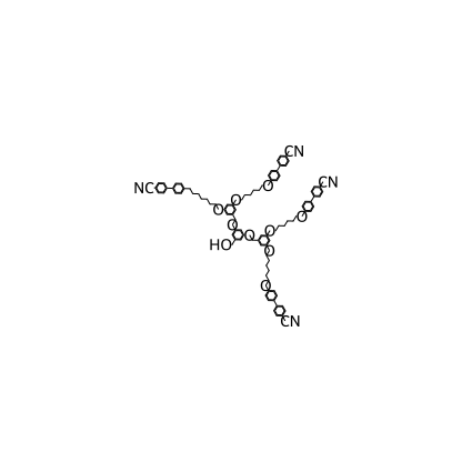 N#Cc1ccc(-c2ccc(CCCCCCCOc3cc(COc4cc(CO)cc(OCc5cc(OCCCCCCOc6ccc(-c7ccc(C#N)cc7)cc6)cc(OCCCCCCOc6ccc(-c7ccc(C#N)cc7)cc6)c5)c4)cc(OCCCCCCOc4ccc(-c5ccc(C#N)cc5)cc4)c3)cc2)cc1